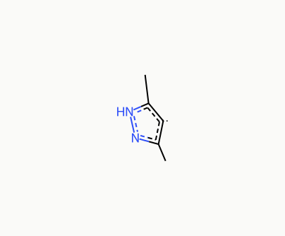 Cc1[c]c(C)[nH]n1